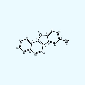 Brc1ccc2oc3c4ccccc4ccc3c2c1